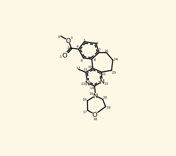 COC(=O)c1ccc2c(c1)-c1c(C)nc(N3CCOCC3)nc1CCC2